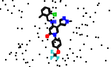 Cc1cccc(Cl)c1CNc1cc(=O)n(-c2ccc(OC(F)(F)F)cc2)cc1-c1cnn(C)c1